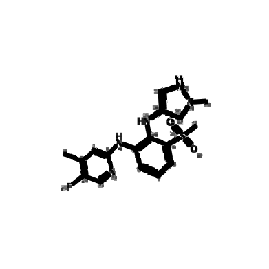 Cc1cc(Nc2cccc(S(C)(=O)=O)c2NC2=CNN(C)C2)ncc1F